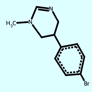 CN1C=NCC(c2ccc(Br)cc2)C1